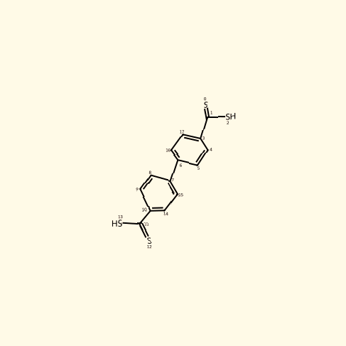 S=C(S)c1ccc(-c2ccc(C(=S)S)cc2)cc1